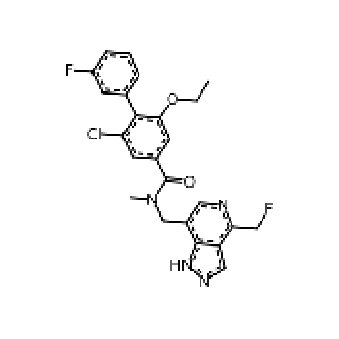 CCOc1cc(C(=O)N(C)Cc2cnc(CF)c3cn[nH]c23)cc(Cl)c1-c1cccc(F)c1